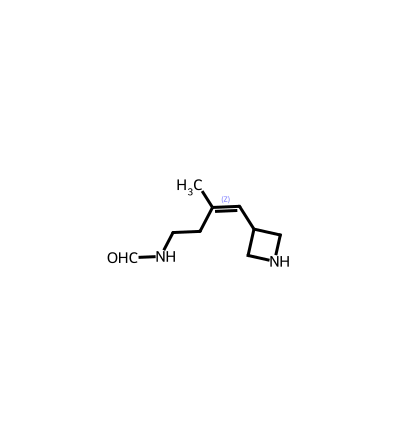 C/C(=C/C1CNC1)CCNC=O